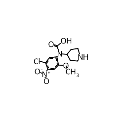 COc1cc([N+](=O)[O-])c(Cl)cc1N(C(=O)O)C1CCNCC1